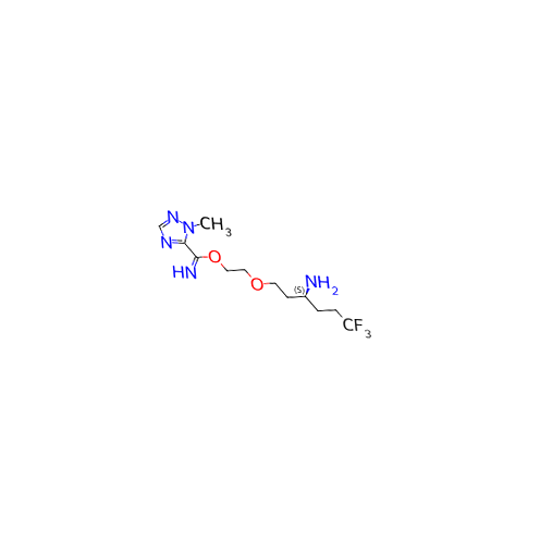 Cn1ncnc1C(=N)OCCOCC[C@@H](N)CCC(F)(F)F